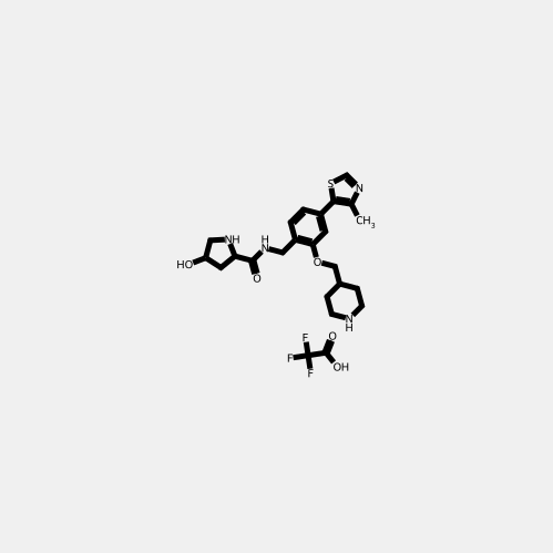 Cc1ncsc1-c1ccc(CNC(=O)C2CC(O)CN2)c(OCC2CCNCC2)c1.O=C(O)C(F)(F)F